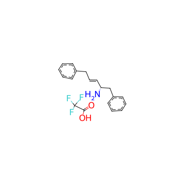 N[C@H](C=CCc1ccccc1)Cc1ccccc1.O=C(O)C(F)(F)F